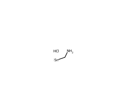 Cl.N[CH2][Sn]